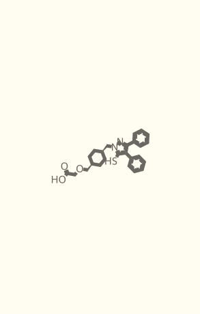 O=C(O)COC[C@H]1CC[C@@H](Cn2nc(-c3ccccc3)c(-c3ccccc3)c2S)CC1